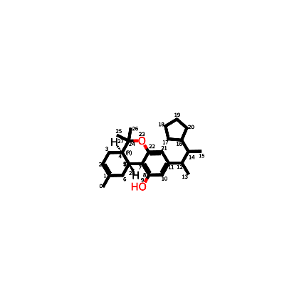 CC1=CC[C@@H]2[C@@H](C1)c1c(O)cc(C(C)C(C)C3CCCC3)cc1OC2(C)C